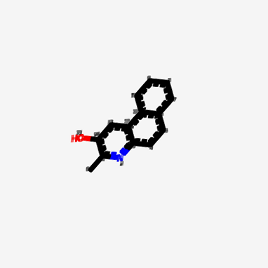 Cc1nc2ccc3ccccc3c2cc1O